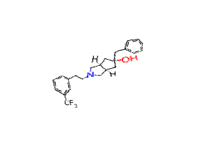 O[C@@]1(Cc2ccccc2)C[C@H]2CN(CCc3cccc(C(F)(F)F)c3)C[C@H]2C1